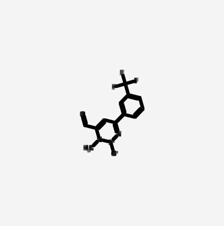 CN1C(C=O)=CC(c2cccc(C(F)(F)F)c2)=N[S+]1[O-]